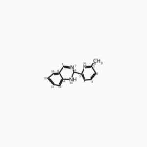 Cc1cccc(C2N=Cc3ccccc3N2)n1